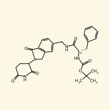 CC(C)(C)OC(=O)N[C@@H](Cc1ccccc1)C(=O)NCc1ccc2c(c1)CN(C1CCC(=O)NC1=O)C2=O